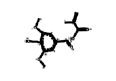 C=C(C)C(=O)O.COc1cc(C=O)cc(OC)c1O